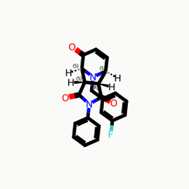 O=C1C=C[C@H]2[C@@H]3C(=O)N(c4ccccc4)C(=O)[C@@H]3[C@@H]1N2Cc1cccc(F)c1